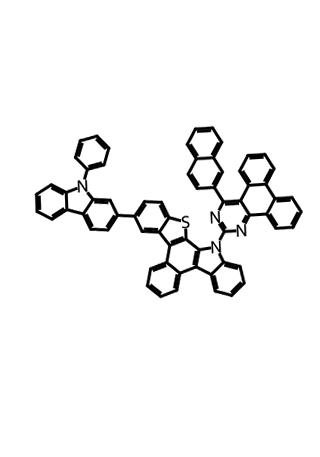 c1ccc(-n2c3ccccc3c3ccc(-c4ccc5sc6c(c5c4)c4ccccc4c4c5ccccc5n(-c5nc(-c7ccc8ccccc8c7)c7c8ccccc8c8ccccc8c7n5)c64)cc32)cc1